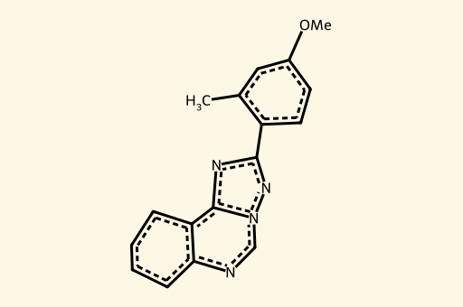 COc1ccc(-c2nc3c4ccccc4ncn3n2)c(C)c1